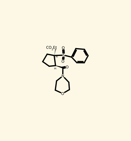 CCOC(=O)[C@@]1(S(=O)(=O)c2ccccc2)CCC[C@@H]1C(=O)N1CCOCC1